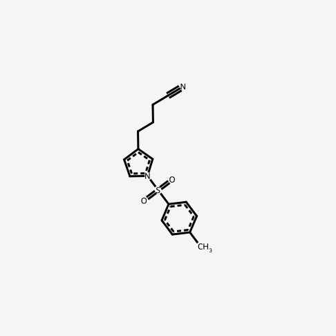 Cc1ccc(S(=O)(=O)n2ccc(CCCC#N)c2)cc1